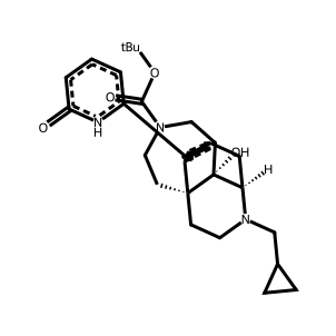 CC(C)(C)OC(=O)N1CC[C@]23CCN(CC4CC4)[C@H](Cc4ccc(-c5cccc(=O)[nH]5)cc42)[C@]3(O)CC1